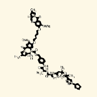 COc1cc2c(cc1OCCCCCOc1cc3c(cc1OC)C(=O)N1C=C(C)C[C@H]1[C@H](O)N3C(=O)OCc1ccc(NC(=O)[C@H](C)NC(=O)C(NC(=O)CC(C)(C)OC(C)(C)c3cn(C4CCCC4)nn3)C(C)C)cc1)N=C[C@@H]1CC(C)=CN1C2=O